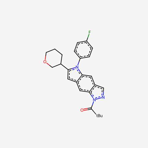 CC(C)(C)C(=O)n1ncc2cc3c(cc(C4CCCOC4)n3-c3ccc(F)cc3)cc21